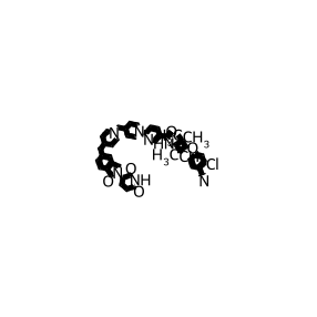 CC1(C)[C@H](NC(=O)c2ccc(N3CCC(CN4CCC(Cc5ccc6c(c5)CN(C5CCC(=O)NC5=O)C6=O)CC4)CC3)nc2)C(C)(C)[C@H]1Oc1ccc(C#N)c(Cl)c1